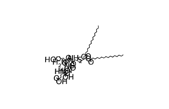 CCCCCCCCCCCCCCCC(=O)OC[C@H](CSCCC(=O)N(N)[C@@](CCC(N)=O)(C(=O)NCC(=O)N[C@H](CCC(=O)O)C(=O)O)C(=O)[C@@H](N)Cc1ccc(O)cc1)OC(=O)CCCCCCCCCCCCCCC